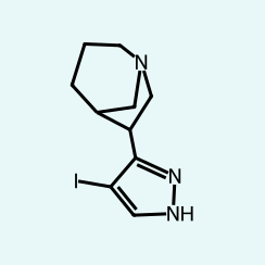 Ic1c[nH]nc1C1CN2CCCC1C2